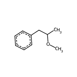 COC(C)Cc1ccccc1